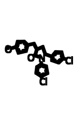 COc1ccc(CC2CC(c3ccc(Cl)cc3)N(c3ccc(Cl)cc3)C2=O)cc1